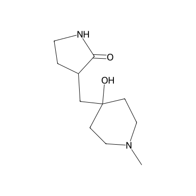 CN1CCC(O)(CC2CCNC2=O)CC1